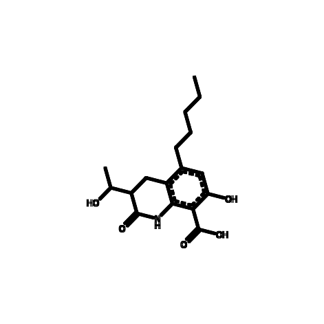 CCCCCc1cc(O)c(C(=O)O)c2c1CC(C(C)O)C(=O)N2